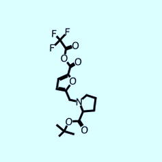 CC(C)(C)OC(=O)C1CCCN1Cc1ccc(C(=O)OC(=O)C(F)(F)F)o1